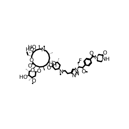 CC[C@H]1OC(=O)[C@H](C)[C@@H](O[C@H]2C[C@@](C)(OC)[C@@H](O)[C@H](C)O2)[C@H](C)[C@@H](O[C@H]2C[C@@H](N(C)CCc3cn([C@H](CF)[C@H](OC)c4ccc(C(=O)N5CCNC(=O)C5)cc4)nn3)C[C@@H](C)O2)[C@](C)(O)C[C@@H](C)CN(C)[C@H](C)[C@@H](O)[C@]1(C)O